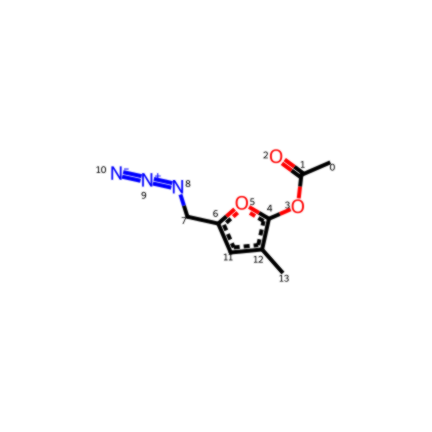 CC(=O)Oc1oc(CN=[N+]=[N-])cc1C